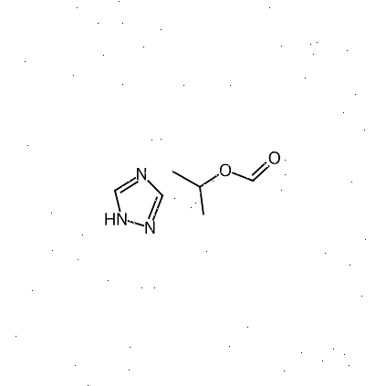 CC(C)OC=O.c1nc[nH]n1